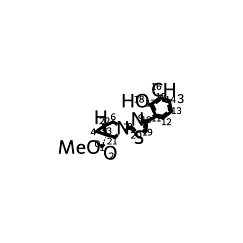 COC(=O)[C@]12C[C@H]1CN(c1nc(-c3cccc(C)c3O)cs1)C2